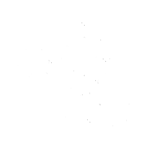 CCc1nc2ccccc2c(-n2c(C)nc3c(C(N)=O)cc(N4CCOCC4)cc32)c1C